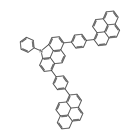 C1=CC2=C3C(=CC=C4C=CC(c5ccc(-c6ccc7c8c6ccc6c(-c9ccc(-c%10ccc%11ccc%12cccc%13ccc%10c%11c%12%13)cc9)ccc(c68)n7-c6ccccc6)cc5)=C(C=C2)C43)C1